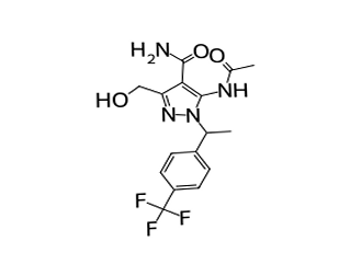 CC(=O)Nc1c(C(N)=O)c(CO)nn1C(C)c1ccc(C(F)(F)F)cc1